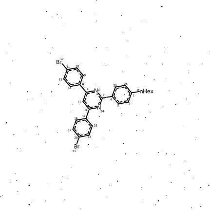 CCCCCCc1ccc(-c2nc(-c3ccc(Br)cc3)cc(-c3ccc(Br)cc3)n2)cc1